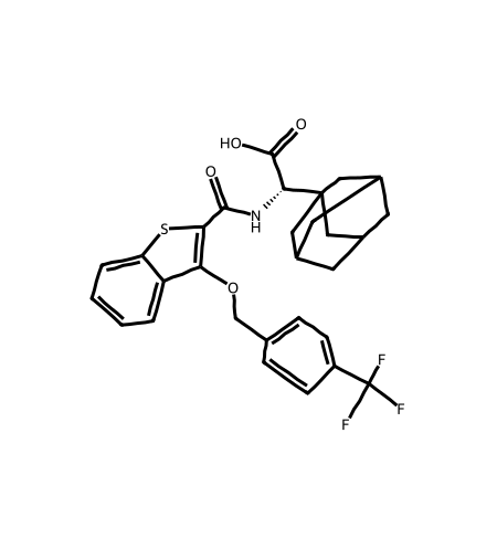 O=C(N[C@H](C(=O)O)C12CC3CC(CC(C3)C1)C2)c1sc2ccccc2c1OCc1ccc(C(F)(F)F)cc1